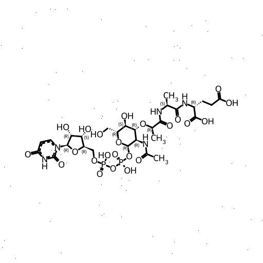 CC(=O)N[C@H]1[C@@H](OP(=O)(O)OP(=O)(O)OC[C@H]2O[C@@H](n3ccc(=O)[nH]c3=O)[C@H](O)[C@@H]2O)O[C@H](CO)[C@@H](O)[C@@H]1O[C@H](C)C(=O)N[C@@H](C)C(=O)N[C@H](CCC(=O)O)C(=O)O